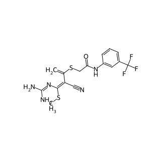 C=C(SCC(=O)Nc1cccc(C(F)(F)F)c1)/C(C#N)=C(\N=C(N)N)SC